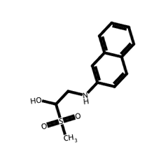 CS(=O)(=O)C(O)CNc1ccc2ccccc2c1